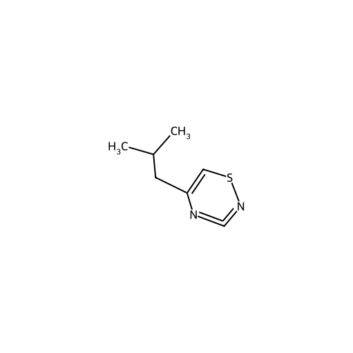 CC(C)CC1=CSN=C=N1